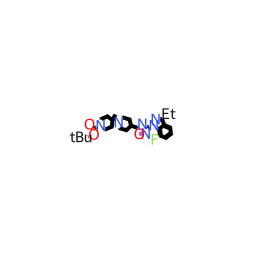 CCc1nn(-c2noc(C3CCN(C4(C)CCN(C(=O)OC(C)(C)C)CC4)CC3)n2)c2c(F)cccc12